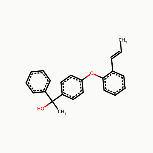 CC=Cc1ccccc1Oc1ccc(C(C)(O)c2ccccc2)cc1